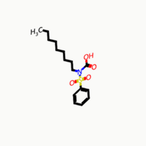 CCCCCCCCCN(C(=O)O)S(=O)(=O)c1ccccc1